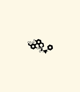 COc1ccc(CC(=O)O)cc1-c1c(F)ccc2c1CN(C(=O)[C@@H]1C[C@H]1c1ccccc1)CC2